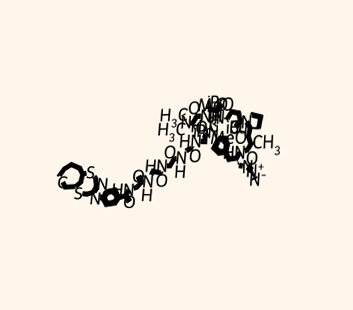 CC[C@H](C)[C@@H]([C@@H](CC(=O)N1CCC[C@H]1[C@H](OC)[C@@H](C)C(=O)N[C@H](CN=[N+]=[N-])Cc1ccc(NC(=O)CNC(=O)CNC(=O)CNC(=O)CNC(=O)CNC(=O)c2ccc3nc4c(nc3c2)CSC2CCCCCCC(C2)SC4)cc1)OC)N(C)C(=O)[C@@H](NC(=O)[C@H](C(C)C)N(C)C)C(C)C